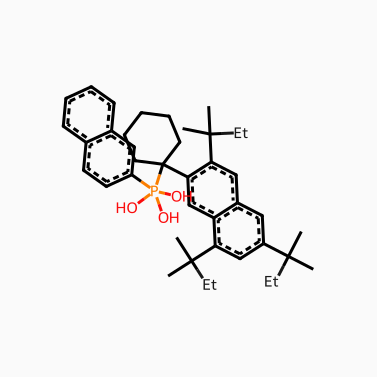 CCC(C)(C)c1cc(C(C)(C)CC)c2cc(C3(P(O)(O)(O)c4ccc5ccccc5c4)CCCCC3)c(C(C)(C)CC)cc2c1